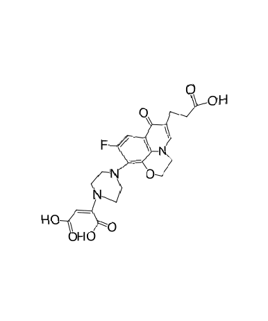 O=C(O)/C=C(\C(=O)O)N1CCN(c2c(F)cc3c(=O)c(CCC(=O)O)cn4c3c2OCC4)CC1